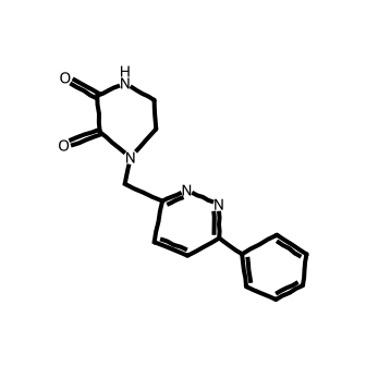 O=C1NCCN(Cc2ccc(-c3ccccc3)nn2)C1=O